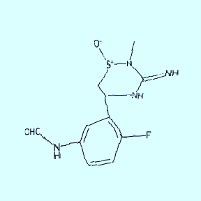 CN1C(=N)NC(c2cc(NC=O)ccc2F)C[S+]1[O-]